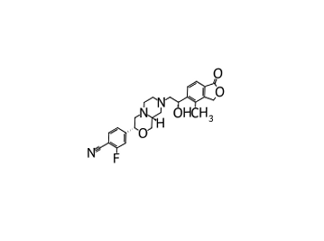 Cc1c([C@@H](O)CN2CCN3C[C@@H](c4ccc(C#N)c(F)c4)OC[C@H]3C2)ccc2c1COC2=O